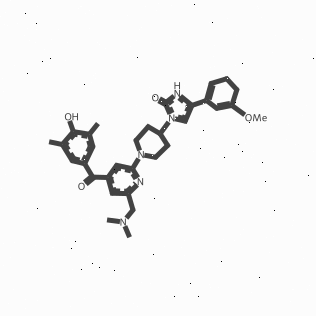 COC1=CC(c2cn(C3CCN(c4cc(C(=O)c5cc(C)c(O)c(C)c5)cc(CN(C)C)n4)CC3)c(=O)[nH]2)=CCC1